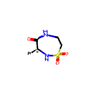 CC(C)[C@@H]1NS(=O)(=O)CCNC1=O